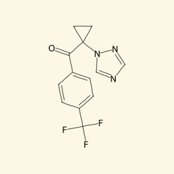 O=C(c1ccc(C(F)(F)F)cc1)C1(n2cncn2)CC1